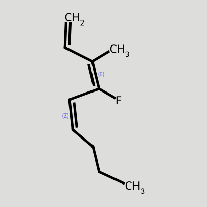 C=C/C(C)=C(F)\C=C/CCC